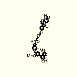 COc1cc(-c2cn(C)c(=O)c3cnccc23)cc(OC)c1CN1CCC2(CC1)CC(NC(=O)CCOCCOc1ccc3c(c1)C(=O)N(C1CCC(=O)NC1=O)C3=O)C2